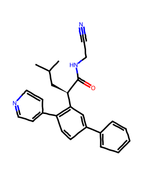 CC(C)C[C@@H](C(=O)NCC#N)c1cc(-c2ccccc2)ccc1-c1ccncc1